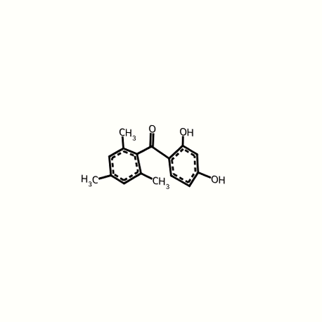 Cc1cc(C)c(C(=O)c2ccc(O)cc2O)c(C)c1